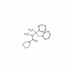 CN(C(=O)N1CCCC1)C(C)(Cc1ccccc1)c1ccccc1